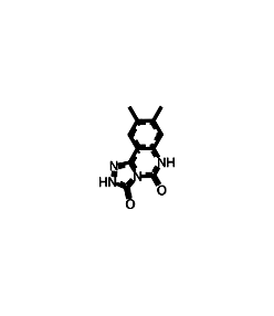 Cc1cc2[nH]c(=O)n3c(=O)[nH]nc3c2cc1C